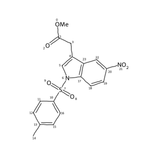 COC(=O)Cc1cn(S(=O)(=O)c2ccc(C)cc2)c2ccc([N+](=O)[O-])cc12